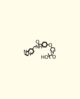 CC(C)(O)C(=O)N1CCC(Oc2ccc(C(=O)NCc3ccn4ccnc4c3)cc2)C1